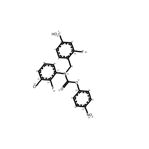 O=C(O)c1ccc(CN(C(=O)Oc2ccc([N+](=O)[O-])cc2)c2cccc(Cl)c2F)c(F)c1